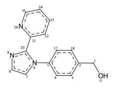 OCc1ccc(-n2ccnc2-c2ccccn2)cc1